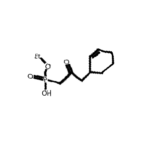 CCOP(=O)(O)CC(=O)CC1C=CCCC1